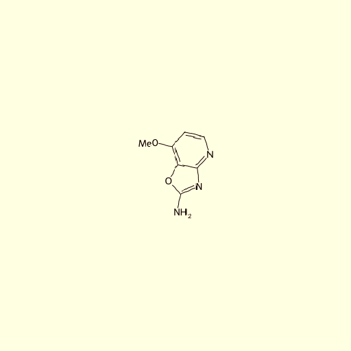 COc1ccnc2nc(N)oc12